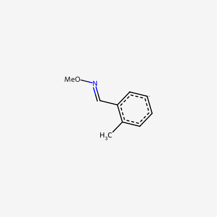 CON=Cc1c[c]ccc1C